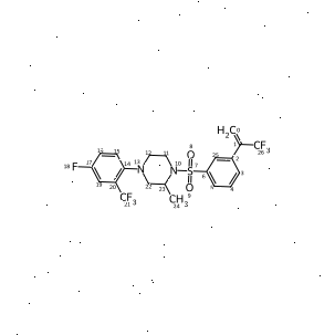 C=C(c1cccc(S(=O)(=O)N2CCN(c3ccc(F)cc3C(F)(F)F)CC2C)c1)C(F)(F)F